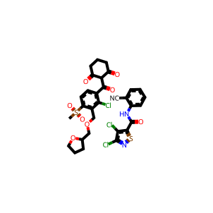 CS(=O)(=O)c1ccc(C(=O)C2C(=O)CCCC2=O)c(Cl)c1COCC1CCCO1.N#Cc1ccccc1NC(=O)c1snc(Cl)c1Cl